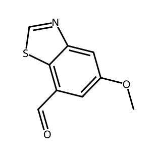 COc1cc(C=O)c2scnc2c1